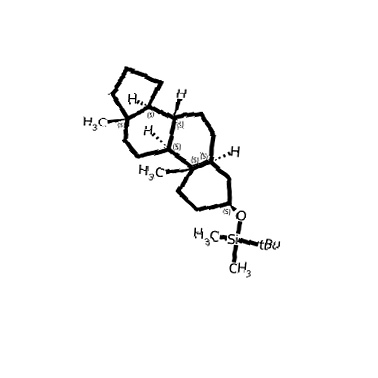 CC(C)(C)[Si](C)(C)O[C@H]1CC[C@@]2(C)[C@@H](CC[C@@H]3[C@@H]2CC[C@]2(C)[CH]CC[C@@H]32)C1